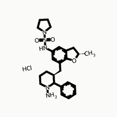 C[C@H]1Cc2cc(NS(=O)(=O)N3CCCC3)cc(C[C@@H]3CCCN(N)C3c3ccccc3)c2O1.Cl